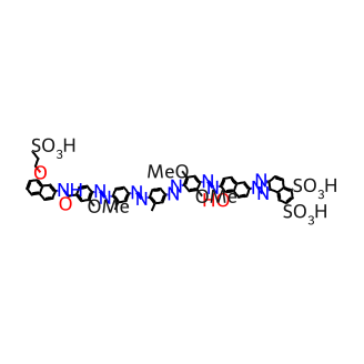 COc1cc(N=Nc2ccc3cc(-n4nc5ccc6c(S(=O)(=O)O)cc(S(=O)(=O)O)cc6c5n4)ccc3c2O)c(OC)cc1N=Nc1ccc(N=Nc2ccc(N=Nc3ccc(C(=O)Nc4ccc5cccc(OCCCS(=O)(=O)O)c5c4)cc3OC)c(C)c2)c(C)c1